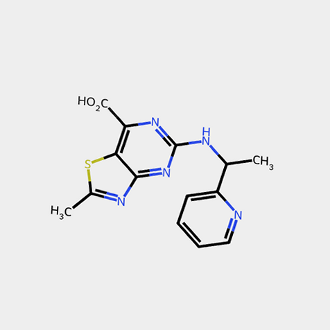 Cc1nc2nc(NC(C)c3ccccn3)nc(C(=O)O)c2s1